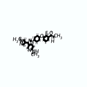 CNC(=O)c1cccc(O[C@H]2CC[C@@H](n3nc(-c4cnn(C)c4)c4cnc(NC)cc43)CC2)c1F